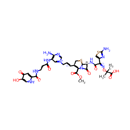 COC(=O)C1=C(/C=C/C[n+]2cnc(N)c(NC(=O)CCNC(=O)c3cc(=O)c(O)c[nH]3)c2)CSC2[C@H](NC(=O)/C(=N\OC(C)(C)C(=O)O)c3csc(N)n3)C(=O)N12